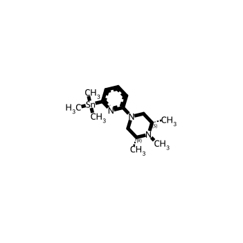 C[C@@H]1CN(c2ccc[c]([Sn]([CH3])([CH3])[CH3])n2)C[C@H](C)N1C